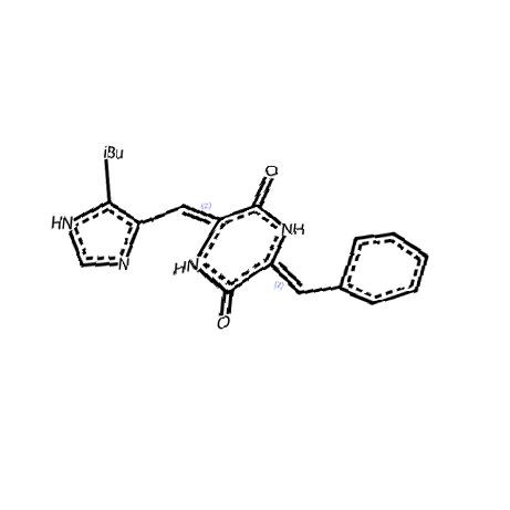 CCC(C)c1[nH]cnc1/C=c1\[nH]c(=O)/c(=C/c2ccccc2)[nH]c1=O